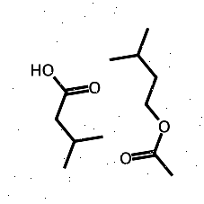 CC(=O)OCCC(C)C.CC(C)CC(=O)O